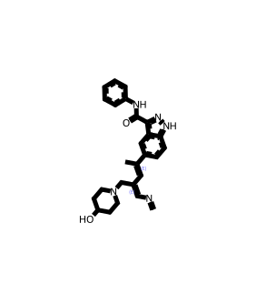 C=N/C=C(\C=C(/C)c1ccc2[nH]nc(C(=O)Nc3ccccc3)c2c1)CN1CCC(O)CC1